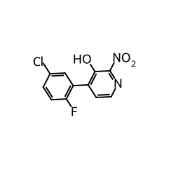 O=[N+]([O-])c1nccc(-c2cc(Cl)ccc2F)c1O